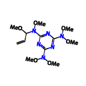 C=CC(OC)N(OC)c1nc(N(OC)OC)nc(N(OC)OC)n1